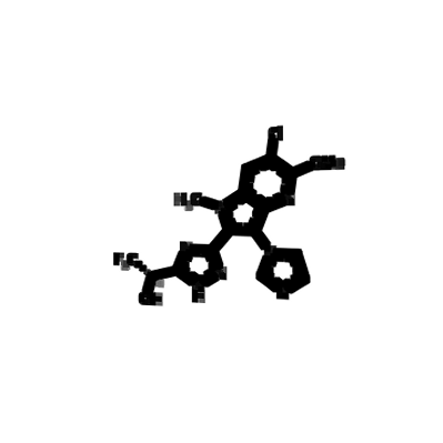 COc1nc2c(-n3ccnc3)c(-c3n[nH]c([C@H](O)C(F)(F)F)n3)n(C)c2cc1Cl